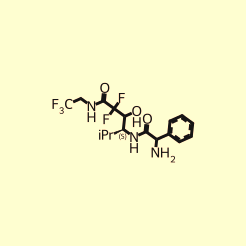 CC(C)[C@H](NC(=O)C(N)c1ccccc1)C(O)C(F)(F)C(=O)NCC(F)(F)F